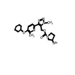 CCCC1CCN(C(=O)OCc2c(-c3ccc(OC4CCCCC4)c(C)n3)nnn2C)C1